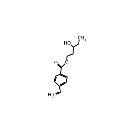 C=Cc1ccc(C(=O)OCCC(O)CC)cc1